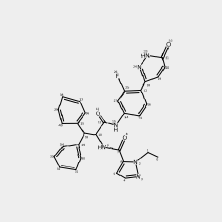 CCn1nccc1C(=O)NC(C(=O)Nc1ccc(-c2ccc(=O)[nH]n2)c(F)c1)C(c1ccccc1)c1ccccc1